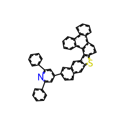 c1ccc(-c2cc(-c3ccc4cc5sc6ccc7c8ccccc8c8ccccc8c7c6c5cc4c3)cc(-c3ccccc3)n2)cc1